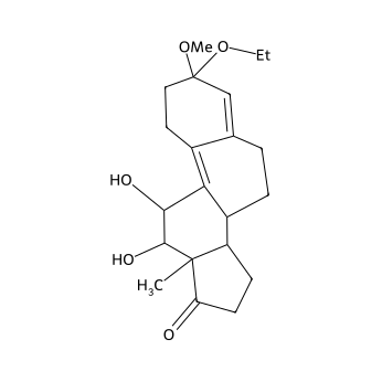 CCOC1(OC)C=C2CCC3C(=C2CC1)C(O)C(O)C1(C)C(=O)CCC31